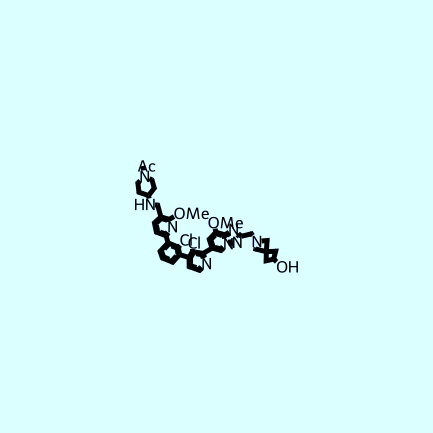 COc1nc(-c2cccc(-c3ccnc(-c4cc(OC)c5nc(CN6CC7(CC(O)C7)C6)nn5c4)c3Cl)c2Cl)ccc1CNC1CCN(C(C)=O)CC1